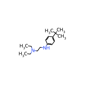 CCN(CC)CCNc1ccc(C(C)(C)C)cc1